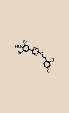 Oc1c(Br)cc(-c2cnc(OCCc3ccc(Cl)cc3Cl)nn2)cc1Br